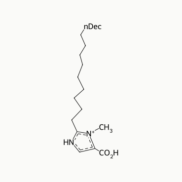 CCCCCCCCCCCCCCCCCCCc1[nH]cc(C(=O)O)[n+]1C